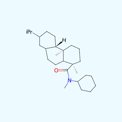 CC(C)C1CC[C@H]2C(CCC3[C@](C)(C(=O)N(C)C4CCCCC4)CCC[C@@]32C)C1